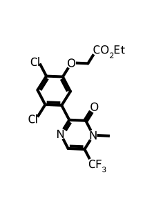 CCOC(=O)COc1cc(-c2ncc(C(F)(F)F)n(C)c2=O)c(Cl)cc1Cl